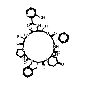 CC[C@H]1NC(=O)[C@@H](NC(=O)c2ncccc2O)[C@@H](C)OC(=O)[C@H](c2ccccc2)NC(=O)[C@@H]2CC(=O)CCN2C(=O)[C@H](Cc2ccccc2)N(C)C(=O)[C@@H]2CCCN2C1=O